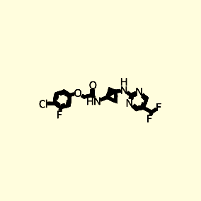 O=C(COc1ccc(Cl)c(F)c1)NC12CC(Nc3ncc(C(F)F)cn3)(C1)C2